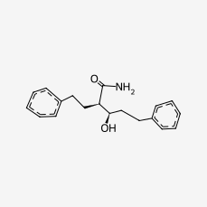 NC(=O)[C@H](CCc1ccccc1)[C@H](O)CCc1ccccc1